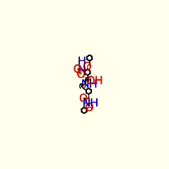 COc1ccccc1CNC(=O)Cc1cccc(C[C@@H](C)NC[C@H](O)c2ccc(OCc3ccccc3)c(NS(C)(=O)=O)c2)c1